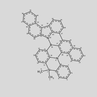 C[Si]1(C)c2ccccc2N2c3c(cccc31)B1c3c(cc4ccccc4c32)-c2cccc3c4c5ccccc5ccc4n1c23